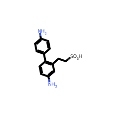 Nc1ccc(-c2ccc(N)cc2CCS(=O)(=O)O)cc1